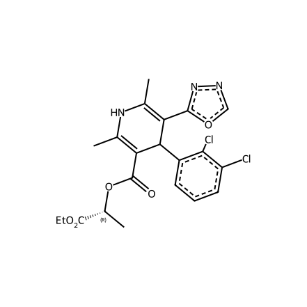 CCOC(=O)[C@@H](C)OC(=O)C1=C(C)NC(C)=C(c2nnco2)C1c1cccc(Cl)c1Cl